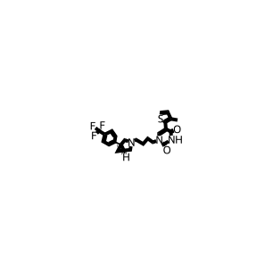 Cc1ccsc1-c1cn(CCCCN2C[C@@H]3C[C@]3(c3ccc(C(F)(F)F)cc3)C2)c(=O)[nH]c1=O